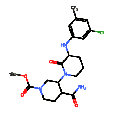 CC(C)(C)OC(=O)N1CCC(C(N)=O)C(N2CCCC(Nc3cc(Cl)cc(C(F)(F)F)c3)C2=O)C1